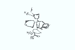 COC1(C(=O)O)CCC(c2c(C3CCOCC3)n(-c3ccc(F)c(C)c3)c3cc4cn[nH]c4nc23)CC1